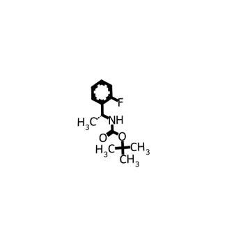 C[C@@H](NC(=O)OC(C)(C)C)c1ccccc1F